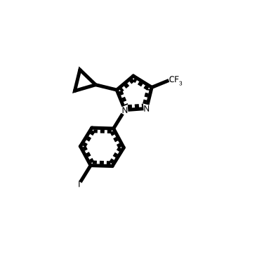 FC(F)(F)c1cc(C2CC2)n(-c2ccc(I)cc2)n1